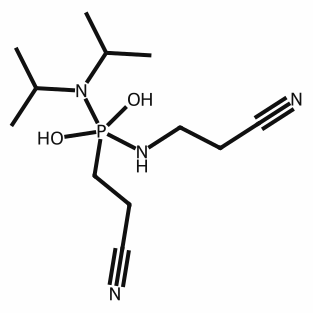 CC(C)N(C(C)C)P(O)(O)(CCC#N)NCCC#N